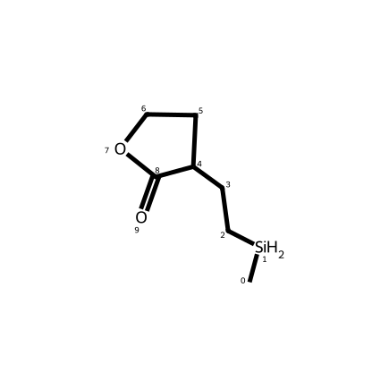 C[SiH2]CCC1CCOC1=O